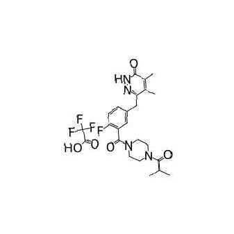 Cc1c(Cc2ccc(F)c(C(=O)N3CCN(C(=O)C(C)C)CC3)c2)n[nH]c(=O)c1C.O=C(O)C(F)(F)F